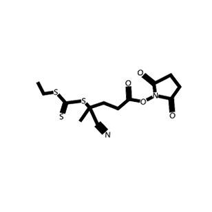 CCSC(=S)SC(C)(C#N)CCC(=O)ON1C(=O)CCC1=O